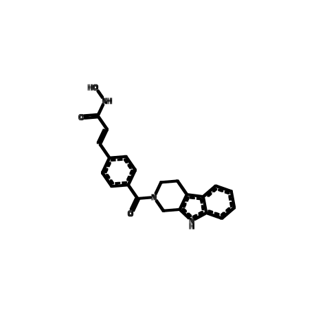 O=C(C=Cc1ccc(C(=O)N2CCc3c([nH]c4ccccc34)C2)cc1)NO